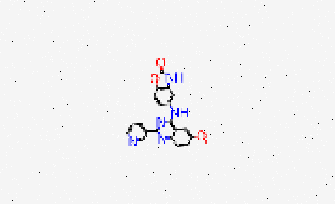 COc1ccc2nc(-c3cccnc3)nc(Nc3ccc4oc(=O)[nH]c4c3)c2c1